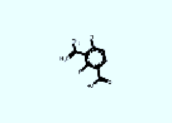 C=C(C)c1c(Cl)ccc(C(=O)O)c1F